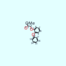 COC(=O)COc1ccccc1Oc1ccccc1